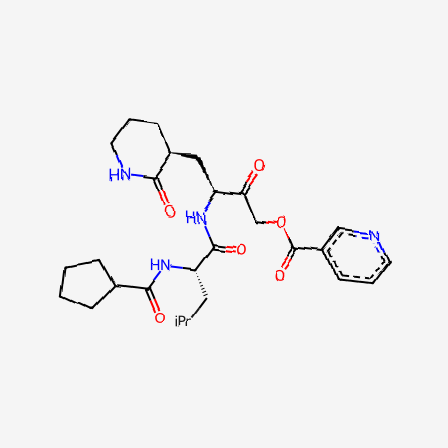 CC(C)C[C@H](NC(=O)C1CCCC1)C(=O)N[C@@H](C[C@@H]1CCCNC1=O)C(=O)COC(=O)c1cccnc1